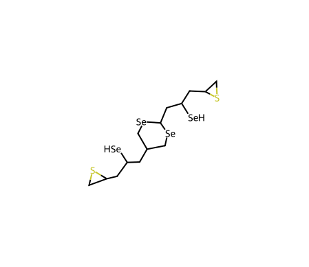 [SeH]C(CC1C[Se]C(CC([SeH])CC2CS2)[Se]C1)CC1CS1